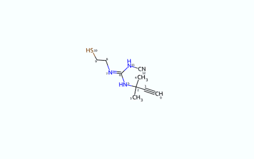 C#CC(C)(C)N/C(=N/CCS)NC#N